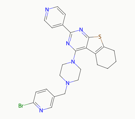 Brc1ccc(CN2CCN(c3nc(-c4ccncc4)nc4sc5c(c34)CCCC5)CC2)cn1